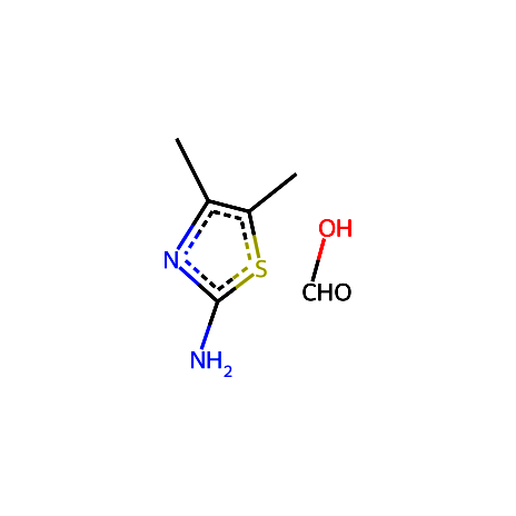 Cc1nc(N)sc1C.O=CO